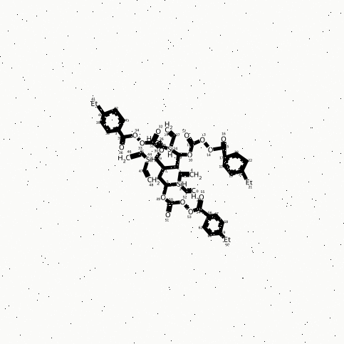 C=C[SiH](C=C)C(CC(CC(OC(=O)OOC(=O)c1ccc(CC)cc1)[SiH](C=C)C=C)C(OC(=O)OOC(=O)c1ccc(CC)cc1)[SiH](C=C)C=C)OC(=O)OOC(=O)c1ccc(CC)cc1